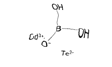 [Gd+3].[O-]B(O)O.[Te-2]